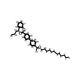 CCCCCCCCCCCCOC(C)c1ccc(-c2ccc(C(=O)Oc3ccccc3CCCC)cc2)cc1